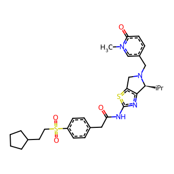 CC(C)[C@H]1c2nc(NC(=O)Cc3ccc(S(=O)(=O)CCC4CCCC4)cc3)sc2CN1Cc1ccc(=O)n(C)c1